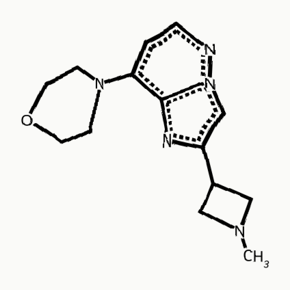 CN1CC(c2cn3nccc(N4CCOCC4)c3n2)C1